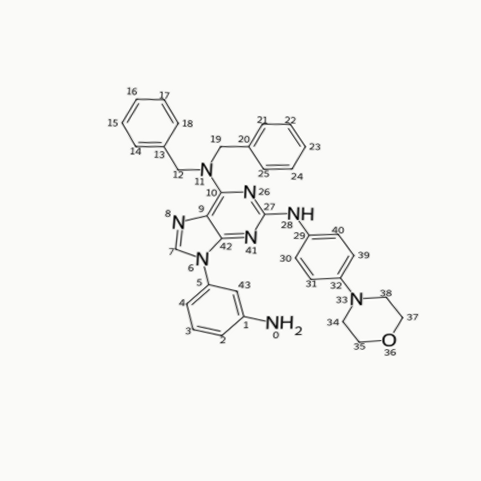 Nc1cccc(-n2cnc3c(N(Cc4ccccc4)Cc4ccccc4)nc(Nc4ccc(N5CCOCC5)cc4)nc32)c1